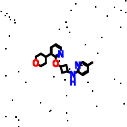 Cc1ccc(NC2CC(Oc3ncccc3C3CCOCC3)C2)nc1